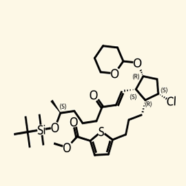 COC(=O)c1ccc(CCC[C@@H]2[C@H](C=CC(=O)CCC[C@H](C)O[Si](C)(C)C(C)(C)C)[C@H](OC3CCCCO3)C[C@@H]2Cl)s1